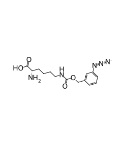 [N-]=[N+]=Nc1cccc(COC(=O)NCCCC[C@H](N)C(=O)O)c1